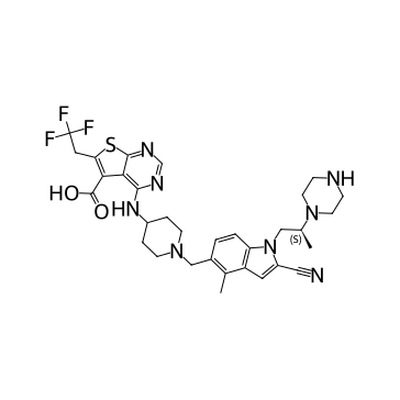 Cc1c(CN2CCC(Nc3ncnc4sc(CC(F)(F)F)c(C(=O)O)c34)CC2)ccc2c1cc(C#N)n2C[C@H](C)N1CCNCC1